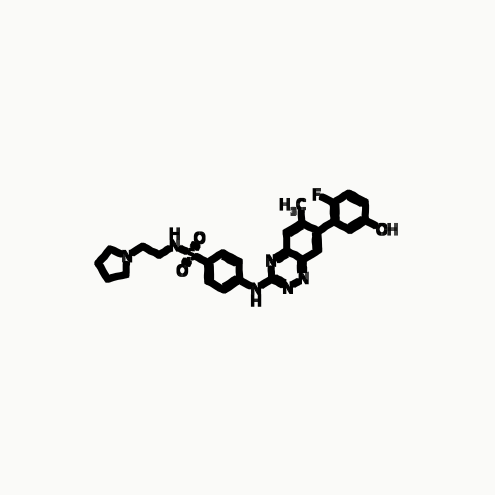 Cc1cc2nc(Nc3ccc(S(=O)(=O)NCCN4CCCC4)cc3)nnc2cc1-c1cc(O)ccc1F